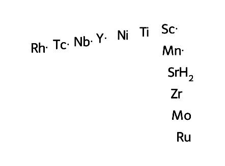 [Mn].[Mo].[Nb].[Ni].[Rh].[Ru].[Sc].[SrH2].[Tc].[Ti].[Y].[Zr]